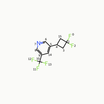 FC1(F)CC(c2cncc(C(F)(F)F)c2)C1